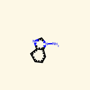 Nn1cnc2cc[c]cc21